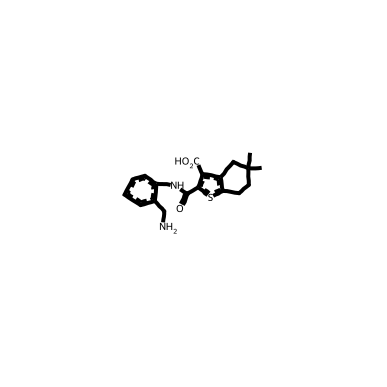 CC1(C)CCc2sc(C(=O)Nc3ccccc3CN)c(C(=O)O)c2C1